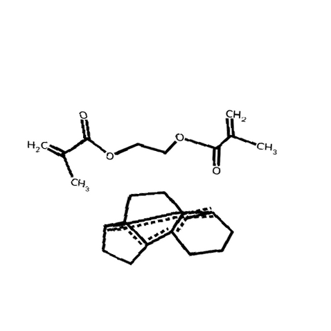 C1Cc2c3c(c4c(c2CC4)CC3)C1.C=C(C)C(=O)OCCOC(=O)C(=C)C